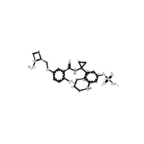 Cc1ccc(OC[C@@H]2CCN2C)cc1C(=O)NC1(c2cc(OS(=O)(=O)C(F)(F)F)cc3c2CCCN3)CC1